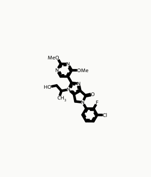 COc1ncc(-c2nc3c(n2C(C)CO)CN(c2cccc(Cl)c2F)C3=O)c(OC)n1